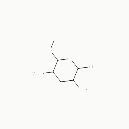 COC1CC(OC)C(OI)OC1C